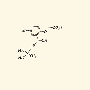 C[Si](C)(C)C#CC(O)c1cc(Br)ccc1OCC(=O)O